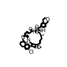 CO[C@H]1/C=C/C[C@H](C)CS(=O)(NC(=O)c2ccc3c(c2)CCOC3)=NC(=O)c2ccc3c(c2)N(C[C@@H]2CC[C@H]21)C[C@@]1(CCCc2cc(Cl)ccc21)CO3